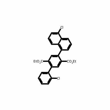 CCOC(=O)c1cc(-c2cccc3c(Cl)cccc23)c(C(=O)OCC)cc1-c1ccccc1Cl